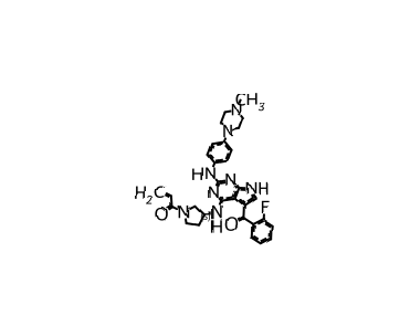 C=CC(=O)N1CC[C@H](Nc2nc(Nc3ccc(N4CCN(C)CC4)cc3)nc3[nH]cc(C(=O)c4ccccc4F)c23)C1